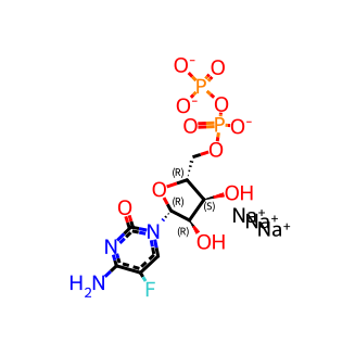 Nc1nc(=O)n([C@@H]2O[C@H](COP(=O)([O-])OP(=O)([O-])[O-])[C@@H](O)[C@H]2O)cc1F.[Na+].[Na+].[Na+]